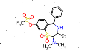 CCC1NC(c2ccccc2)c2ccc(OS(=O)(=O)C(F)(F)F)cc2S(=O)(=O)C1N(C)C